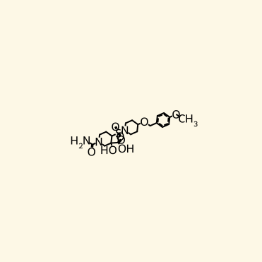 COc1ccc(COC2CCN(S(=O)(=O)C3CCN(C(N)=O)CC3(O)C(=O)O)CC2)cc1